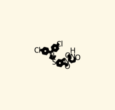 O=C1CCC(N2Cc3cc(SC4CN(C(c5ccc(Cl)cc5)c5ccc(Cl)cc5)C4)ccc3C2=O)C(=O)N1